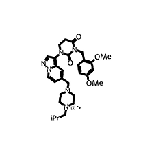 COc1ccc(CN2C(=O)CCN(c3cnn4ccc(CN5CCN(CC(C)C)[C@@H](C)C5)cc34)C2=O)c(OC)c1